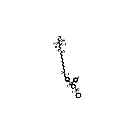 O=C(CCCCCCCCCCC(=O)NC[C@@H](O)[C@H](O)[C@@H](O)[C@@H](O)CO)NCc1ccc(N2C(=O)C3(CCN(C(=O)NC4CCCCCC4)CC3)C2c2ccc(F)cc2)cc1